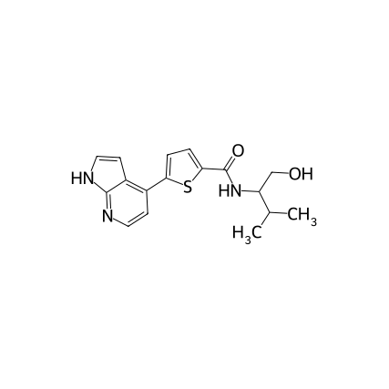 CC(C)C(CO)NC(=O)c1ccc(-c2ccnc3[nH]ccc23)s1